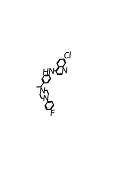 CC(c1ccc(Nc2ccnc3cc(Cl)ccc23)cc1)N1CCN(c2ccc(F)cc2)CC1